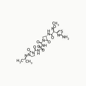 CON=C(C(=O)N[C@H]1CN(C(=O)NS(=O)(=O)NC(=O)N2CCN(N=C(C)C)C2=O)C1=O)c1csc(N)n1